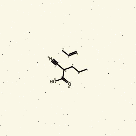 C=CC.CCCC(C#N)C(=O)O